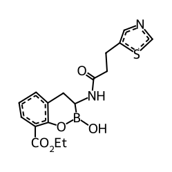 CCOC(=O)c1cccc2c1OB(O)C(NC(=O)CCc1cncs1)C2